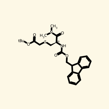 CN(C)C(=O)[C@H](CSCC(=O)OC(C)(C)C)NC(=O)OCC1c2ccccc2-c2ccccc21